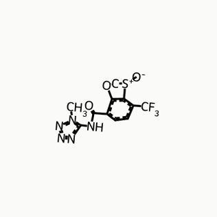 Cn1nnnc1NC(=O)c1ccc(C(F)(F)F)c2c1OC[S+]2[O-]